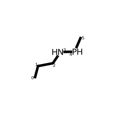 CCCNPC